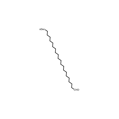 CCCCCCCCCCCCCCCCCCCCCCCCCCCCCC[C]=O